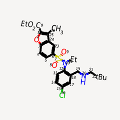 CCOC(=O)c1oc2ccc(S(=O)(=O)N(CC)c3ccc(Cl)cc3CNCC(C)(C)C)cc2c1C